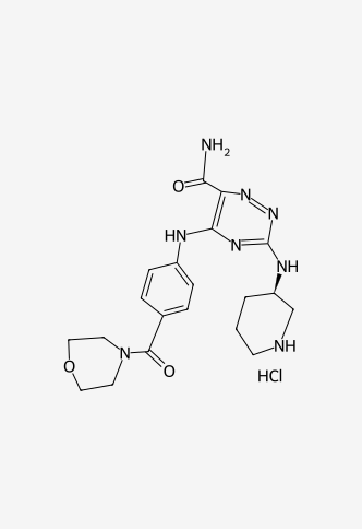 Cl.NC(=O)c1nnc(N[C@@H]2CCCNC2)nc1Nc1ccc(C(=O)N2CCOCC2)cc1